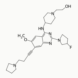 COc1cc2c(NC3CCN(CCO)CC3)nc(N3CCC(F)C3)nc2cc1C#CCCN1CCCC1